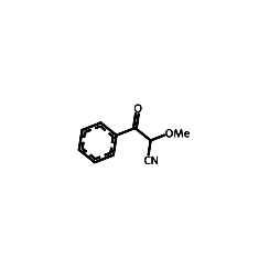 COC(C#N)C(=O)c1ccccc1